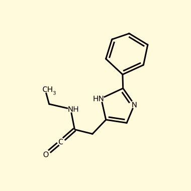 CCNC(=C=O)Cc1cnc(-c2ccccc2)[nH]1